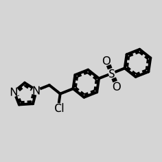 O=S(=O)(c1ccccc1)c1ccc(C(Cl)Cn2ccnc2)cc1